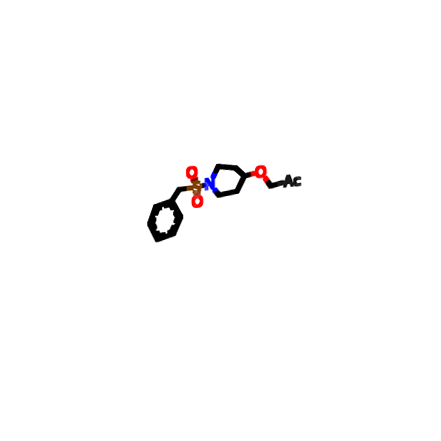 CC(=O)COC1CCN(S(=O)(=O)Cc2ccccc2)CC1